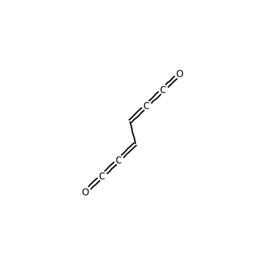 O=C=C=CC=C=C=O